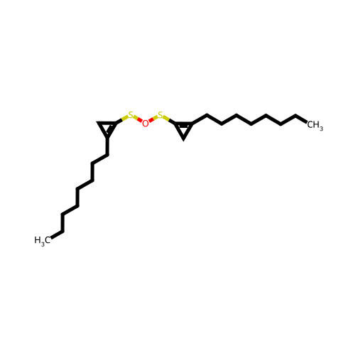 CCCCCCCCC1=C(SOSC2=C(CCCCCCCC)C2)C1